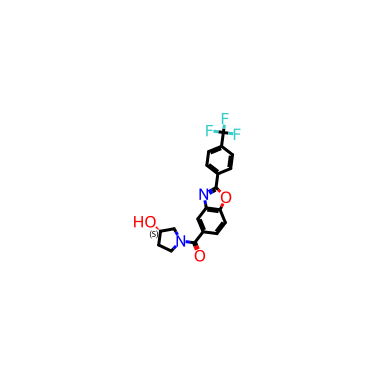 O=C(c1ccc2oc(-c3ccc(C(F)(F)F)cc3)nc2c1)N1CC[C@H](O)C1